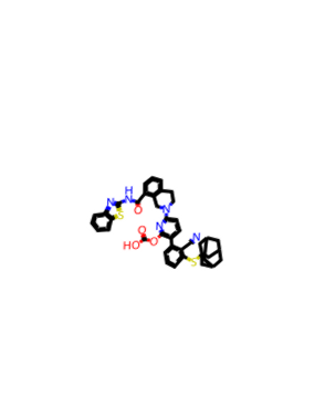 N#Cc1c(SC23CC4CC(CC(C4)C2)C3)cccc1-c1ccc(N2CCc3cccc(C(=O)Nc4nc5ccccc5s4)c3C2)nc1OC(=O)O